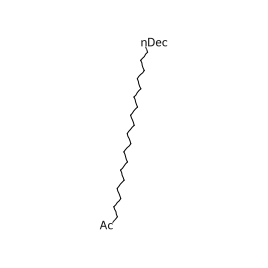 CCCCCCCCCCCCCCCCCCCCCCCCCCCCCC(C)=O